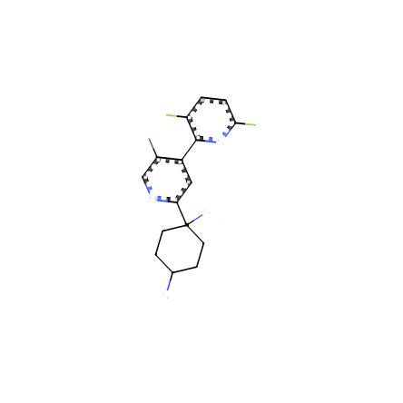 NC1CCC(N)(c2cc(-c3nc(F)ccc3F)c(Cl)cn2)CC1